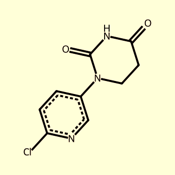 O=C1CCN(c2ccc(Cl)nc2)C(=O)N1